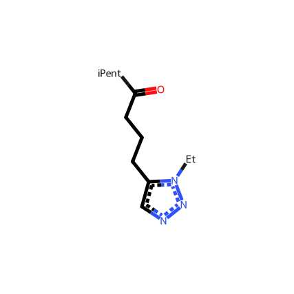 CCCC(C)C(=O)CCCc1cnnn1CC